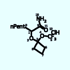 CCCCCC(OC1(OC(F)(F)F)CCC1)C(N)=O.Cl